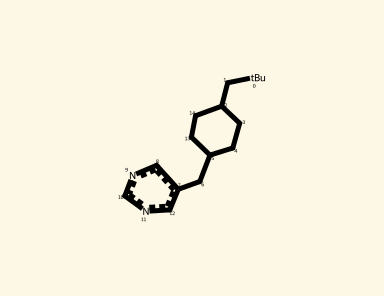 CC(C)(C)CC1CCC(Cc2cncnc2)CC1